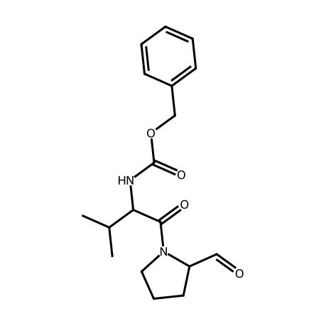 CC(C)C(NC(=O)OCc1ccccc1)C(=O)N1CCCC1C=O